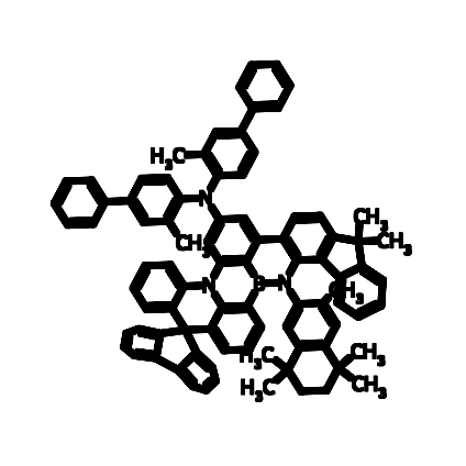 Cc1cc2c(cc1N1B3c4cccc5c4N(c4ccccc4C54c5ccccc5-c5ccccc54)c4cc(N(c5ccc(-c6ccccc6)cc5C)c5ccc(-c6ccccc6)cc5C)cc(c43)-c3ccc4c(c31)-c1ccccc1C4(C)C)C(C)(C)CCC2(C)C